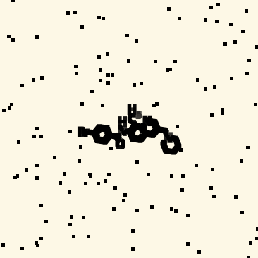 Cc1c(NC(=O)c2ccc(Br)cc2)ccc2cc(CN3CCCCC3)cnc12